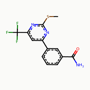 CSc1nc(-c2cccc(C(N)=O)c2)cc(C(F)(F)F)n1